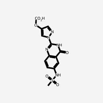 CS(=O)(=O)Nc1ccc2nc(-n3cc(OC(=O)O)cn3)[nH]c(=O)c2c1